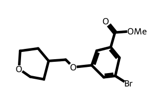 COC(=O)c1cc(Br)cc(OCC2CCOCC2)c1